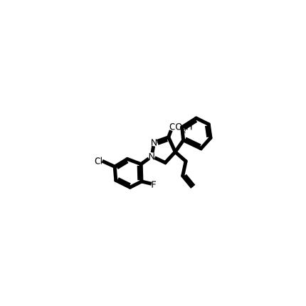 C=CCC1(c2ccccc2)CN(c2cc(Cl)ccc2F)N=C1C(=O)O